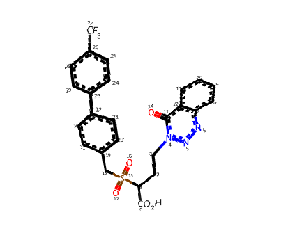 O=C(O)C(CCn1nnc2ccccc2c1=O)S(=O)(=O)Cc1ccc(-c2ccc(C(F)(F)F)cc2)cc1